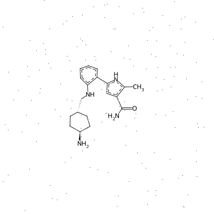 Cc1[nH]c(-c2ccccc2NC[C@H]2CC[C@H](N)CC2)cc1C(N)=O